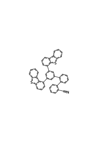 N#Cc1ccccc1-c1ccccc1-c1cc(-c2cccc3c2sc2ccccc23)cc(-c2cccc3sc4ccccc4c23)c1